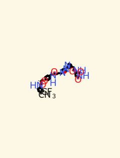 C[C@H](COc1ccc(CNC(=O)CCCN2CCN(c3cc(CC(=O)NC4CCC(=O)NC4=O)ccn3)CC2)cc1)C(=O)Nc1ccc(C#N)c(C(F)(F)F)c1